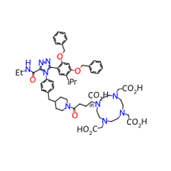 CCNC(=O)c1nnc(-c2cc(C(C)C)c(OCc3ccccc3)cc2OCc2ccccc2)n1-c1ccc(CC2CCN(C(=O)CC[C@H](C(=O)O)N3CCN(CC(=O)O)CCN(CC(=O)O)CCN(CC(=O)O)CC3)CC2)cc1